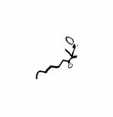 CCCCCCC(=O)C(C)(C)[C]=O